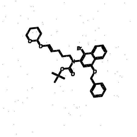 CC(C)(C)OC(=O)N(CCCC=COC1CCCCO1)c1cc(OCc2ccccc2)c2ccccc2c1Br